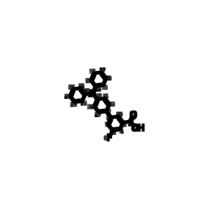 O=C(O)c1cc(F)cc(-c2ccc(N(c3ccccc3)c3ccccc3)cc2)c1